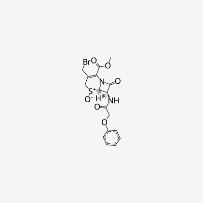 COC(=O)C1=C(CBr)C[S+]([O-])[C@@H]2[C@H](NC(=O)COc3ccccc3)C(=O)N12